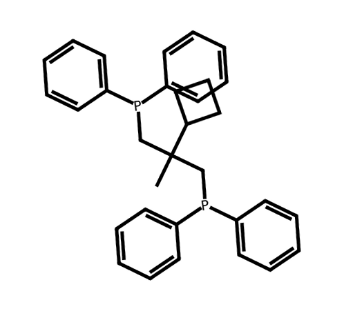 CC(CP(c1ccccc1)c1ccccc1)(CP(c1ccccc1)c1ccccc1)C1CCC1